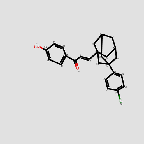 O=C(C=CC12CC3CC(C1)CC(c1ccc(Cl)cc1)(C3)C2)c1ccc(O)cc1